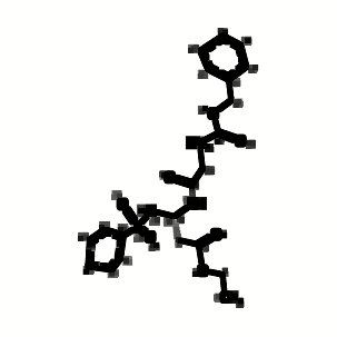 CCOC(=O)C[C@@H](NC(=O)CNC(=O)OCc1ccccc1)NS(=O)(=O)c1ccccc1